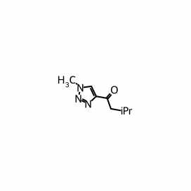 CC(C)CC(=O)c1cn(C)nn1